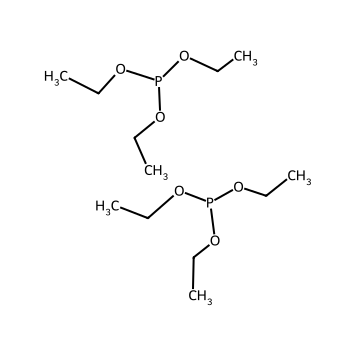 CCOP(OCC)OCC.CCOP(OCC)OCC